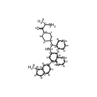 CC(N)C(=O)N1CCC(C(Nc2cc(-c3ccc4ccn(C)c4c3)c3nccnc3c2)c2cccnc2)CC1